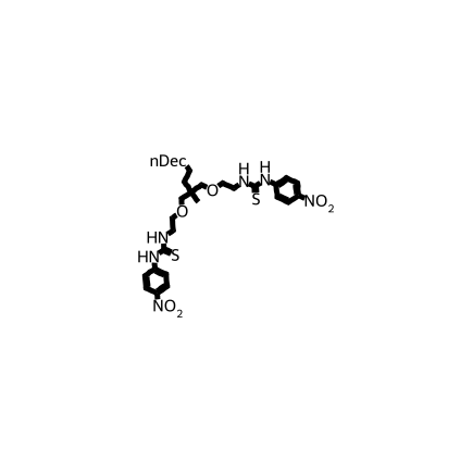 CCCCCCCCCCCCC(C)(COCCNC(=S)Nc1ccc([N+](=O)[O-])cc1)COCCNC(=S)Nc1ccc([N+](=O)[O-])cc1